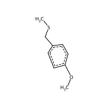 [CH2]SCc1ccc(OC)cc1